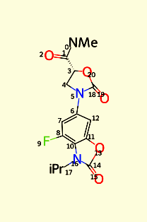 CNC(=O)[C@H]1CN(c2cc(F)c3c(c2)oc(=O)n3C(C)C)C(=O)O1